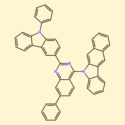 c1ccc(-c2ccc3c(-n4c5ccccc5c5cc6ccccc6cc54)nc(-c4ccc5c(c4)c4ccccc4n5-c4ccccc4)nc3c2)cc1